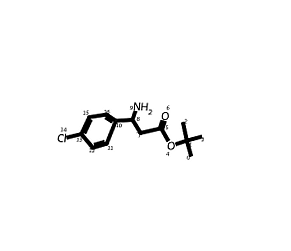 CC(C)(C)OC(=O)[CH]C(N)c1ccc(Cl)cc1